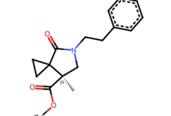 CCCCOC(=O)[C@]1(C)CN(CCc2ccccc2)C(=O)C12CC2